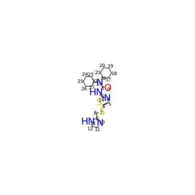 O=C(Nc1ncc(SCC2=NCCN2)s1)N(C1CCCCC1)C1CCCCC1